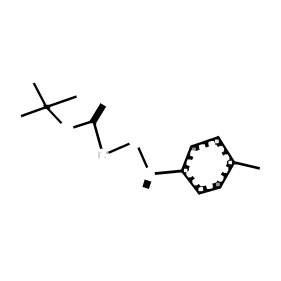 Cc1ccc(S(=O)ONC(=O)OC(C)(C)C)cc1